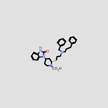 O=C(O)N1CCC(n2c(=O)[nH]c3ccccc32)C[C@@H]1CCCN(CCCc1ccccc1)Cc1ccccc1